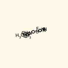 CC(C)(C)OC(=O)N1CCN([C@H]2CC[C@H](COc3ccc(-n4ccnn4)cc3F)CC2)CC1